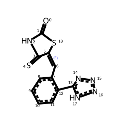 O=C1NC(=S)/C(=C\c2ccccc2-c2nnn[nH]2)S1